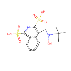 CC(C)(C)N(O)Cc1c(S(=O)(=O)O)nc(S(=O)(=O)O)c2ccccc12